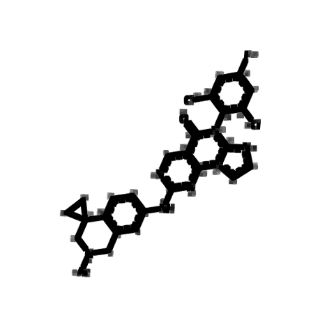 CC(=O)N1Cc2cc(Nc3ncc4c(=O)n(-c5c(Cl)cc(F)cc5Cl)c5nccn5c4n3)ccc2C2(CC2)C1